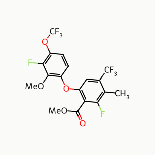 COC(=O)c1c(Oc2ccc(OC(F)(F)F)c(F)c2OC)cc(C(F)(F)F)c(C)c1F